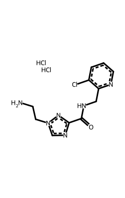 Cl.Cl.NCCn1cnc(C(=O)NCc2ncccc2Cl)n1